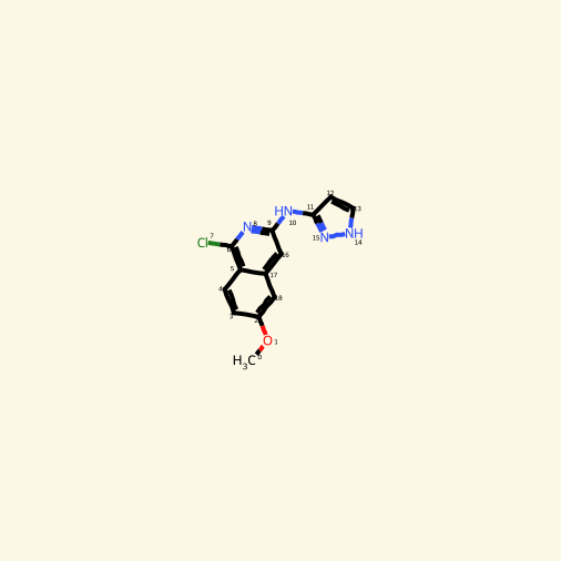 COc1ccc2c(Cl)nc(Nc3cc[nH]n3)cc2c1